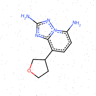 Nc1nc2c(C3CCOC3)ccc(N)n2n1